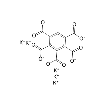 O=C([O-])c1cc(C(=O)[O-])c(C(=O)[O-])c(C(=O)[O-])c1C(=O)[O-].[K+].[K+].[K+].[K+].[K+]